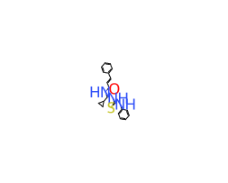 O=C(/C=C/c1ccccc1)NC(NC(=S)Nc1ccccc1)C1CC1